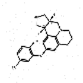 Cc1ccc(C)c(Nc2cc3c4c(c2)[C@@H]2CNC[C@@H]2CN4CCC3)c1